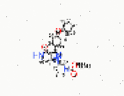 CC(C)(C)OC(=O)N1CCCC(n2nc(-c3ccc(Oc4ccccc4)cc3)c3c(=O)[nH]ccc32)C1